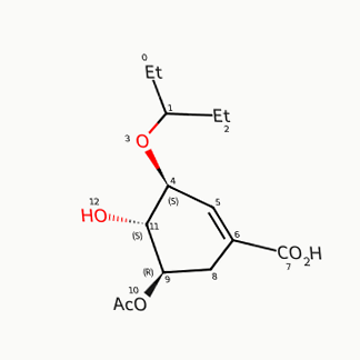 CCC(CC)O[C@H]1C=C(C(=O)O)C[C@@H](OC(C)=O)[C@@H]1O